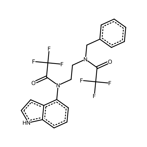 O=C(N(CCN(C(=O)C(F)(F)F)c1cccc2[nH]ccc12)Cc1ccccc1)C(F)(F)F